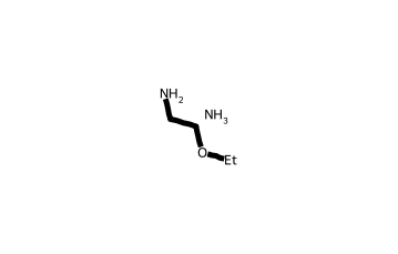 CCOCCN.N